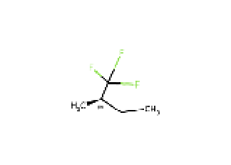 CC[C@@H](C)C(F)(F)F